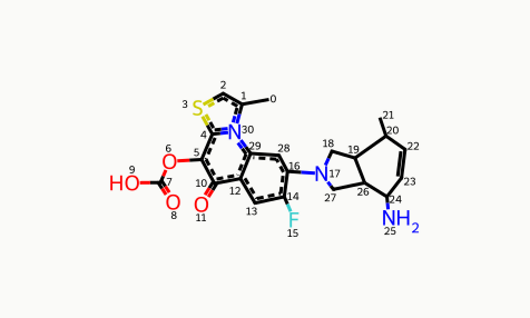 Cc1csc2c(OC(=O)O)c(=O)c3cc(F)c(N4CC5C(C)C=CC(N)C5C4)cc3n12